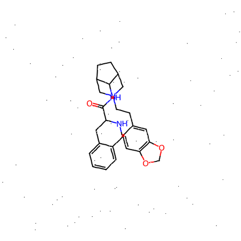 O=C(NC1C2CCC1CN(CCc1ccc3c(c1)OCO3)C2)C1Cc2ccccc2CN1